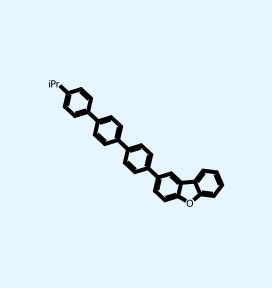 CC(C)c1ccc(-c2ccc(-c3ccc(-c4ccc5oc6ccccc6c5c4)cc3)cc2)cc1